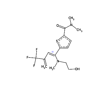 C=C(/C=C(/c1ccc(C(=O)N(C)C)s1)N(C)CCO)C(F)(F)F